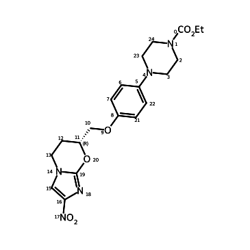 CCOC(=O)N1CCN(c2ccc(OC[C@H]3CCn4cc([N+](=O)[O-])nc4O3)cc2)CC1